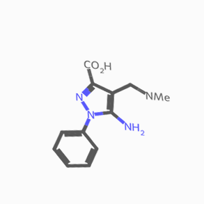 CNCc1c(C(=O)O)nn(-c2ccccc2)c1N